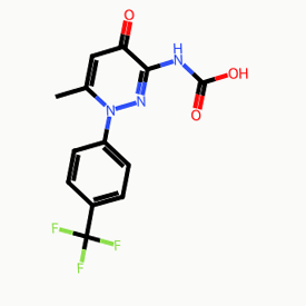 Cc1cc(=O)c(NC(=O)O)nn1-c1ccc(C(F)(F)F)cc1